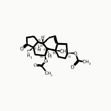 CC(=O)O[C@H]1CC[C@@]2(C)C(=CC[C@@H]3[C@@H]2[C@@H](OC(C)=O)C[C@]2(C)C(=O)CC[C@@H]32)C1